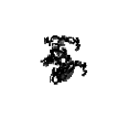 C[C@@H]1CN(C)[C@@H]1COc1nc(N2CC3CCC(C2)N3)c2cc(C(F)(F)F)c(-c3cn(C)c4ccc(N)c(C#N)c34)c(F)c2n1